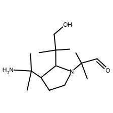 CC(C)(N)C1CCN(C(C)(C)C=O)C1C(C)(C)CO